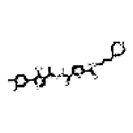 C/C(=N\NC(=O)c1ccc(C(=O)NCCCN2CCOCC2)s1)c1csc(-c2ccc(C)c(C)c2)c1O